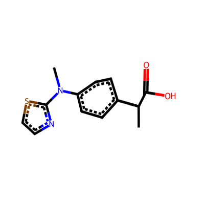 CC(C(=O)O)c1ccc(N(C)c2nccs2)cc1